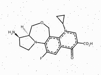 N[C@@H]1CCN2c3c(F)cc4c(=O)c(C(=O)O)cn(C5CC5)c4c3COC[C@H]12